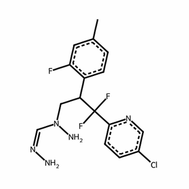 Cc1ccc(C(CN(N)/C=N\N)C(F)(F)c2ccc(Cl)cn2)c(F)c1